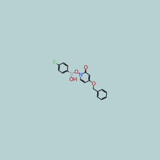 O=c1cc(OCc2ccccc2)ccn1OB(O)c1ccc(F)cc1